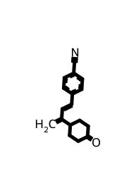 C=C(/C=C/c1ccc(C#N)cc1)C1CCC(=O)CC1